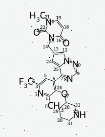 Cc1nc(C(F)(F)F)cc(-c2ncnn3cc(Cn4c(=O)ccn(C)c4=O)cc23)c1OC1CCCNC1